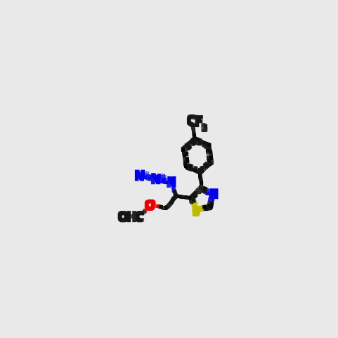 [N-]=[N+]=NC(COC=O)c1scnc1-c1ccc(C(F)(F)F)cc1